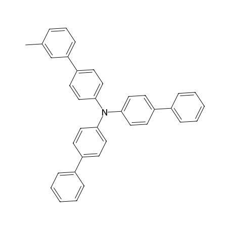 Cc1cccc(-c2ccc(N(c3ccc(-c4ccccc4)cc3)c3ccc(-c4ccccc4)cc3)cc2)c1